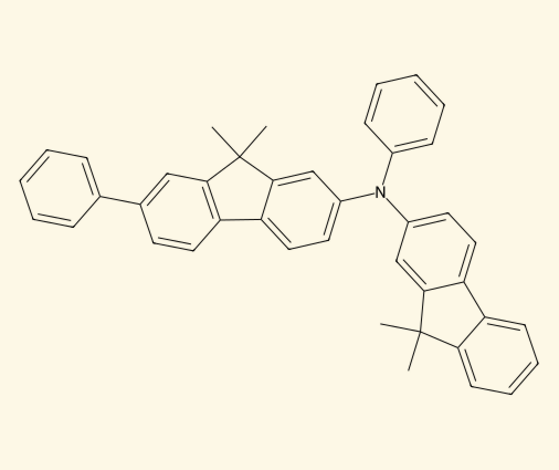 CC1(C)c2ccccc2-c2ccc(N(c3ccccc3)c3ccc4c(c3)C(C)(C)c3cc(-c5ccccc5)ccc3-4)cc21